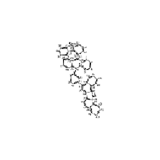 c1cc(-c2c3ccccc3c(-c3cccc4sc5ccccc5c34)c3ccccc23)cc(-c2cc3c4ccc5ccccc5c4oc3c3ccccc23)c1